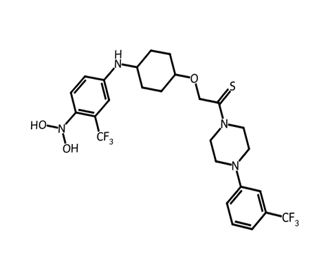 ON(O)c1ccc(NC2CCC(OCC(=S)N3CCN(c4cccc(C(F)(F)F)c4)CC3)CC2)cc1C(F)(F)F